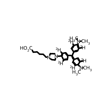 [2H]C1=CC(=C(c2cc([2H])c(N(C)C)c([2H])c2)c2cc([2H])c(N3CCN(CCCCCC(=O)O)CC3)c([2H])c2)C=C([2H])C1N(C)C